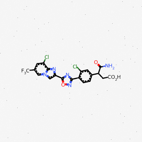 NC(=O)C(CC(=O)O)c1ccc(-c2noc(-c3cn4cc(C(F)(F)F)cc(Cl)c4n3)n2)c(Cl)c1